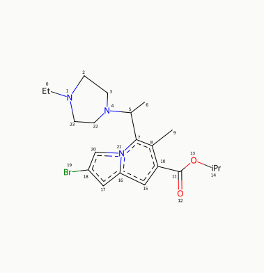 CCN1CCN(C(C)c2c(C)c(C(=O)OC(C)C)cc3cc(Br)cn23)CC1